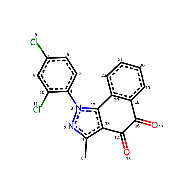 Cc1nn(-c2ccc(Cl)cc2Cl)c2c1C(=O)C(=O)c1ccccc1-2